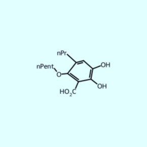 CCCCCOc1c(CCC)cc(O)c(O)c1C(=O)O